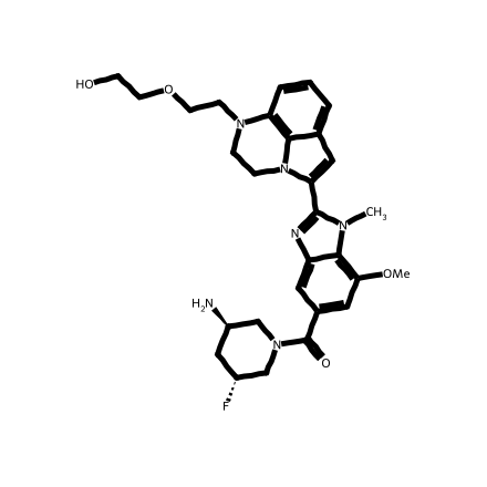 COc1cc(C(=O)N2C[C@H](N)C[C@@H](F)C2)cc2nc(-c3cc4cccc5c4n3CCN5CCOCCO)n(C)c12